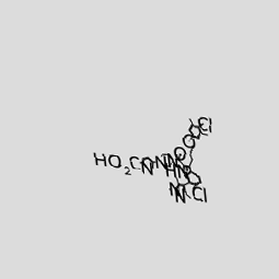 Cc1cc(OCCCc2c(C(=O)N3CCN(c4ccc(C(=O)O)nc4)CC3)[nH]c3c(-c4c(C)nn(C)c4C)c(Cl)ccc23)cc(C)c1Cl